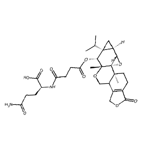 CC(C)[C@]12C[C@H]1[C@@H]1O[C@@]13[C@@]1(C)CCC4=C(COC4=O)C1CO[C@]3(C)[C@@H]2OC(=O)CCC(=O)N[C@@H](CCC(N)=O)C(=O)O